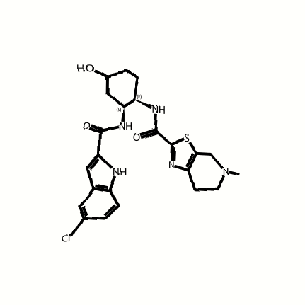 CN1CCc2nc(C(=O)N[C@@H]3CCC(O)C[C@@H]3NC(=O)c3cc4cc(Cl)ccc4[nH]3)sc2C1